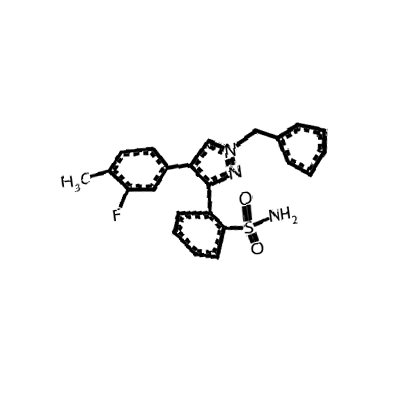 Cc1ccc(-c2cn(Cc3ccccc3)nc2-c2ccccc2S(N)(=O)=O)cc1F